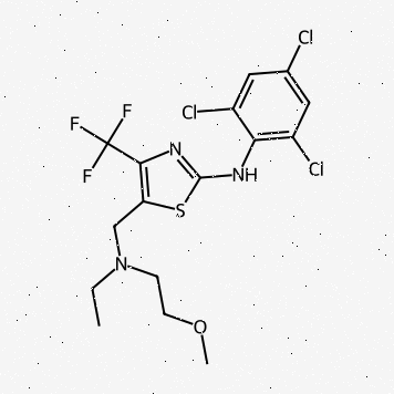 CCN(CCOC)Cc1sc(Nc2c(Cl)cc(Cl)cc2Cl)nc1C(F)(F)F